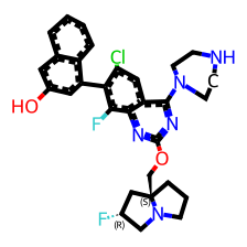 Oc1cc(-c2c(Cl)cc3c(N4CCNCC4)nc(OC[C@@]45CCCN4C[C@H](F)C5)nc3c2F)c2ccccc2c1